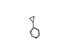 [c]1cncc(C2CC2)c1